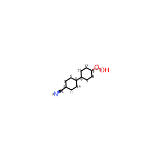 N#CC1CCC(C2CCC(OO)CC2)CC1